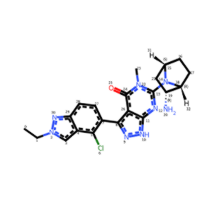 CCn1cc2c(Cl)c(-c3n[nH]c4nc(N5[C@H]6CC[C@@H]5[C@H](N)C6)n(C)c(=O)c34)ccc2n1